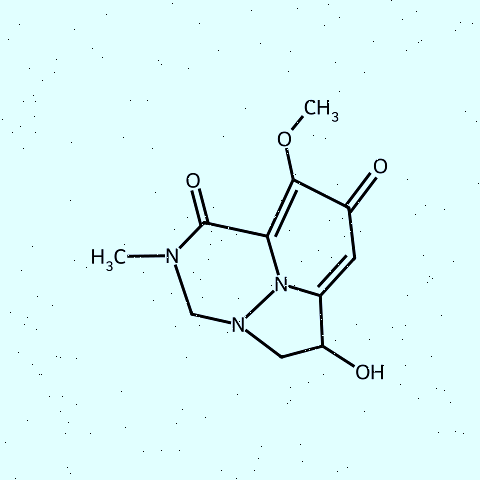 COc1c2n3c(cc1=O)C(O)CN3CN(C)C2=O